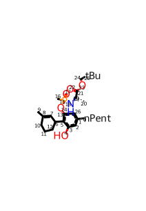 CCCCCc1cc(O)c(C2C=C(C)CCC2)c(OP(C)(=O)N[C@@H](C)C(=O)OCC(C)(C)C)c1